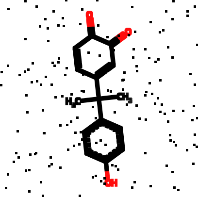 CC(C)(C1=CC(=O)C(=O)C=C1)c1ccc(O)cc1